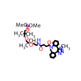 COP(OC)OCC(C)(C)COCC(C)(C)OCCNC(=O)CCC(=O)N1Cc2ccccc2-c2nnn(C)c2-c2ccccc21